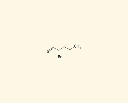 CCCC(Br)[C]=S